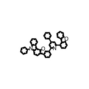 c1ccc(-c2cc(-c3cccc4c3oc3c4ccc4c3c3ccccc3n4-c3ccccc3)nc(-c3cccc4oc5ccccc5c34)c2)cc1